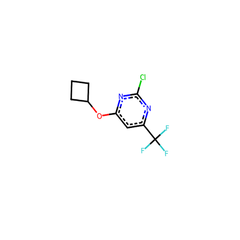 FC(F)(F)c1cc(OC2CCC2)nc(Cl)n1